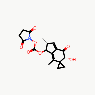 CC1=C2C(=C[C@@H](C)C2OC(=O)ON2C(=O)CCC2=O)C(=O)[C@H](O)C12CC2